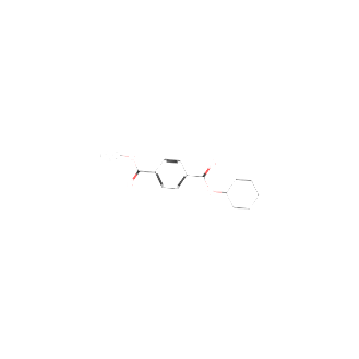 COC(=O)c1ccc(C(=O)OC2CCCCC2)cc1